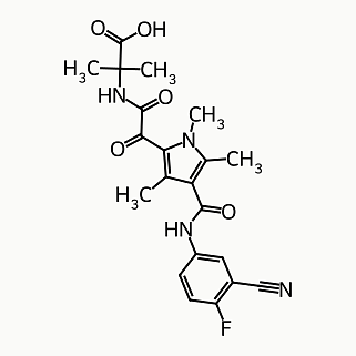 Cc1c(C(=O)Nc2ccc(F)c(C#N)c2)c(C)n(C)c1C(=O)C(=O)NC(C)(C)C(=O)O